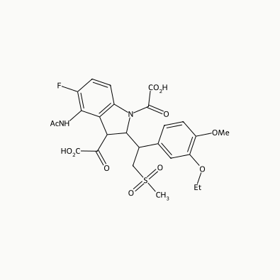 CCOc1cc(C(CS(C)(=O)=O)C2C(C(=O)C(=O)O)c3c(ccc(F)c3NC(C)=O)N2C(=O)C(=O)O)ccc1OC